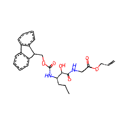 C=CCOC(=O)CNC(=O)C(O)C(CCC)NC(=O)OCC1c2ccccc2-c2ccccc21